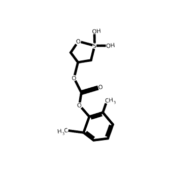 Cc1cccc(C)c1OC(=O)OC1COS(O)(O)C1